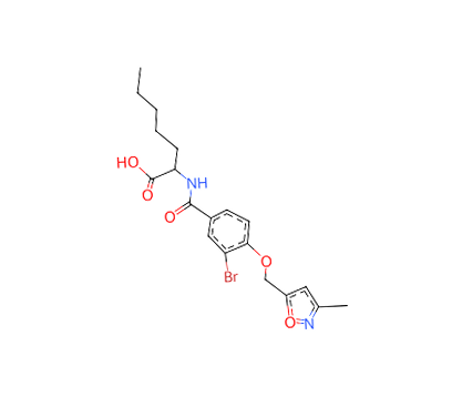 CCCCCC(NC(=O)c1ccc(OCc2cc(C)no2)c(Br)c1)C(=O)O